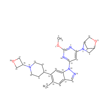 COc1nc(N2CC3CC2CO3)cc(-n2ncc3cc(C)c(C4CCN(C5COC5)CC4)cc32)n1